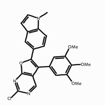 COc1cc(-c2c(-c3ccc4c(ccn4C)c3)oc3nc(Cl)ncc23)cc(OC)c1OC